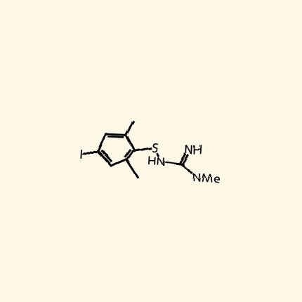 CNC(=N)NSc1c(C)cc(I)cc1C